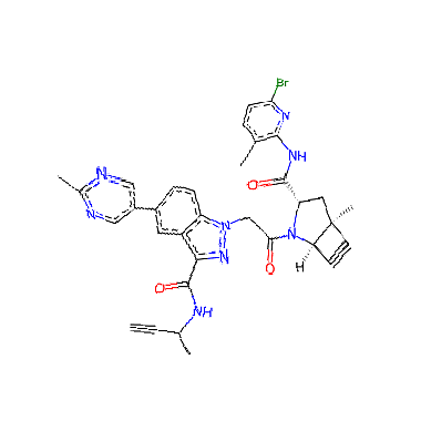 C#CC(C)NC(=O)c1nn(CC(=O)N2[C@H](C(=O)Nc3nc(Br)ccc3C)C[C@@]3(C)C#C[C@@H]23)c2ccc(-c3cnc(C)nc3)cc12